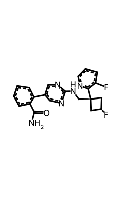 NC(=O)c1ccccc1-c1cnc(NC[C@]2(c3ncccc3F)C[C@H](F)C2)nc1